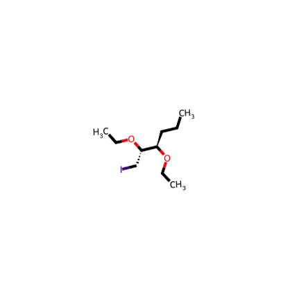 CCC[C@@H](OCC)[C@H](CI)OCC